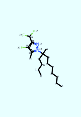 CCCCCCCC(C)(CCCC)n1nc(C(F)F)c(F)c1C